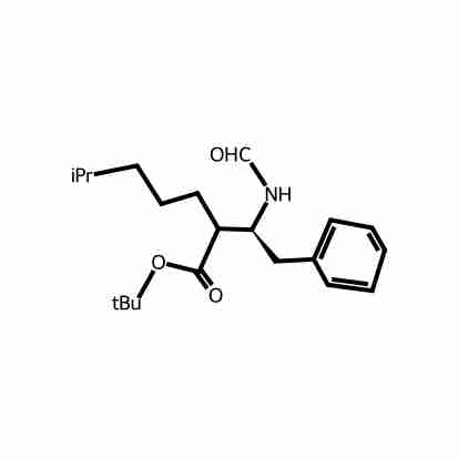 CC(C)CCCC(C(=O)OC(C)(C)C)[C@H](Cc1ccccc1)NC=O